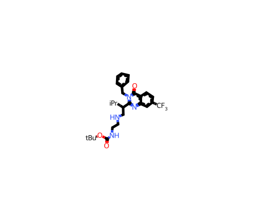 CC(C)C(CNCCNC(=O)OC(C)(C)C)c1nc2cc(C(F)(F)F)ccc2c(=O)n1Cc1ccccc1